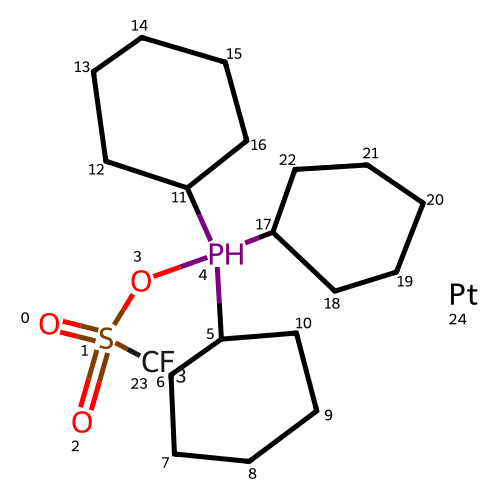 O=S(=O)(O[PH](C1CCCCC1)(C1CCCCC1)C1CCCCC1)C(F)(F)F.[Pt]